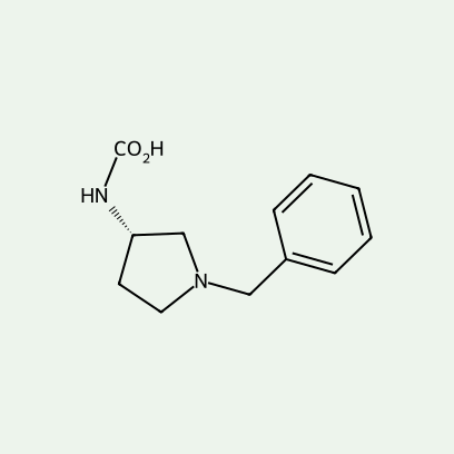 O=C(O)N[C@H]1CCN(Cc2ccccc2)C1